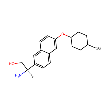 CC(C)(C)C1CCC(Oc2ccc3cc([C@@](C)(N)CO)ccc3c2)CC1